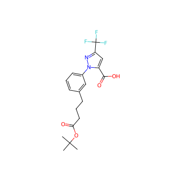 CC(C)(C)OC(=O)CCCc1cccc(-n2nc(C(F)(F)F)cc2C(=O)O)c1